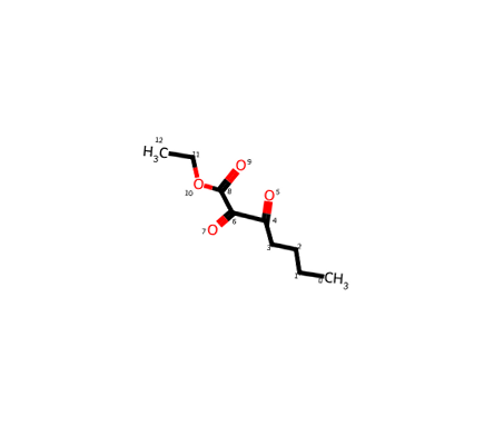 CCCCC(=O)C(=O)C(=O)OCC